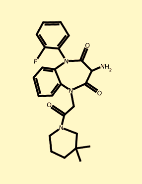 CC1(C)CCCN(C(=O)CN2C(=O)C(N)C(=O)N(c3ccccc3F)c3ccccc32)C1